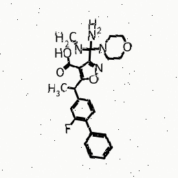 C=NC(N)(c1noc(C(C)c2ccc(-c3ccccc3)c(F)c2)c1C(=O)O)N1CCOCC1